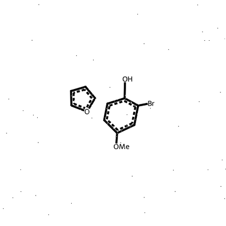 COc1ccc(O)c(Br)c1.c1ccoc1